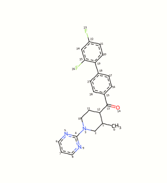 CC1CN(c2ncccn2)CCC1C(=O)c1ccc(-c2ccc(F)cc2F)cc1